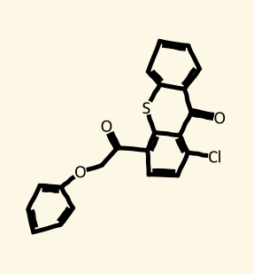 O=C(COc1ccccc1)c1ccc(Cl)c2c(=O)c3ccccc3sc12